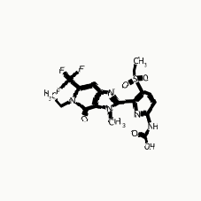 CCn1c(C(F)(F)F)cc2nc(-c3nc(NC(=O)O)ccc3S(=O)(=O)CC)n(C)c2c1=O